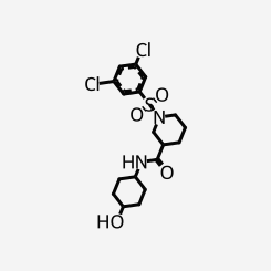 O=C(NC1CCC(O)CC1)C1CCCN(S(=O)(=O)c2cc(Cl)cc(Cl)c2)C1